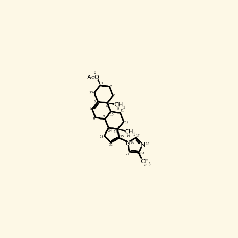 CC(=O)O[C@H]1CC[C@@]2(C)C(=CCC3C2CC[C@]2(C)C(n4cnc(C(F)(F)F)c4)=CCC32)C1